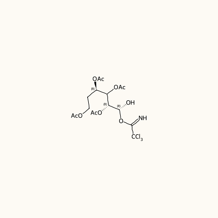 CC(=O)OCC[C@@H](OC(C)=O)C(OC(C)=O)[C@@H](OC(C)=O)[C@H](O)OC(=N)C(Cl)(Cl)Cl